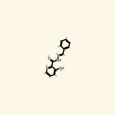 O=C(NN=Cc1ccccc1)c1ncccc1O